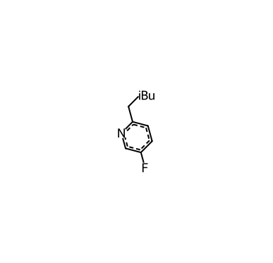 CCC(C)Cc1ccc(F)cn1